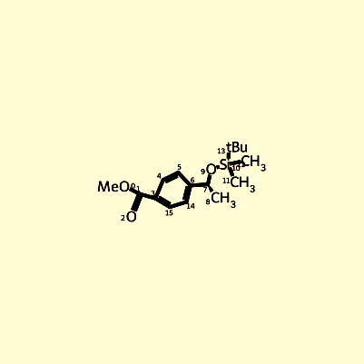 COC(=O)c1ccc([C@H](C)O[Si](C)(C)C(C)(C)C)cc1